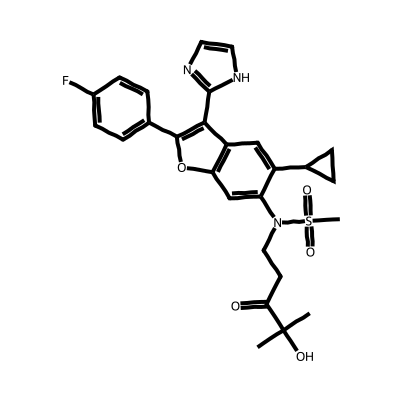 CC(C)(O)C(=O)CCN(c1cc2oc(-c3ccc(F)cc3)c(-c3ncc[nH]3)c2cc1C1CC1)S(C)(=O)=O